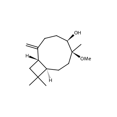 C=C1CC[C@@H](O)[C@@](C)(OC)CC[C@@H]2[C@@H]1CC2(C)C